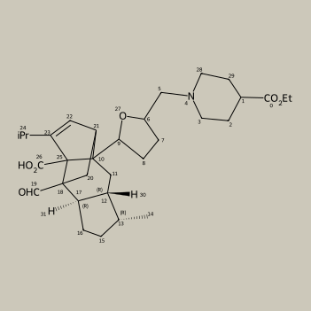 CCOC(=O)C1CCN(CC2CCC(C34C[C@@H]5[C@H](C)CC[C@H]5C5(C=O)CC3C=C(C(C)C)C45C(=O)O)O2)CC1